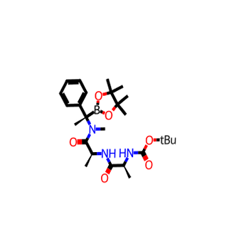 C[C@H](NC(=O)OC(C)(C)C)C(=O)N[C@@H](C)C(=O)N(C)[C@@](C)(B1OC(C)(C)C(C)(C)O1)c1ccccc1